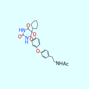 CC(=O)NCCc1ccc(Oc2ccc(OC3(C4CCCCC4)C(=O)NC(=O)NC3=O)cc2)cc1